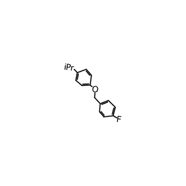 CC(C)c1ccc(OCc2ccc(F)cc2)cc1